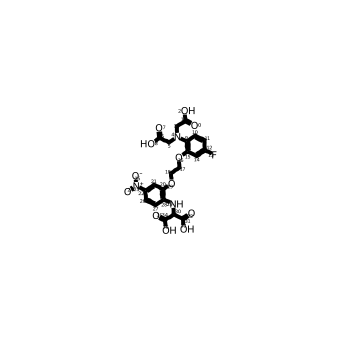 O=C(O)CN(CC(=O)O)c1ccc(F)cc1OCCOc1cc([N+](=O)[O-])ccc1NC(C(=O)O)C(=O)O